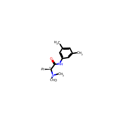 Cc1cc(C)cc(NC(=O)[C@H](C(C)C)N(C)C=O)c1